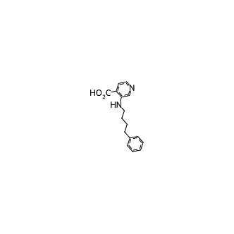 O=C(O)c1ccncc1NCCCCc1ccccc1